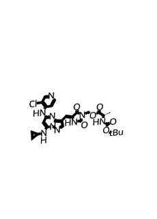 C[C@H](NC(=O)OC(C)(C)C)C(=O)OCN1C(=O)N/C(=C\c2cnn3c(NC4CC4)cc(Nc4ccncc4Cl)nc23)C1=O